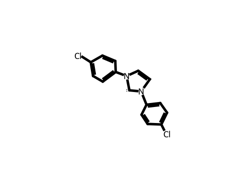 Clc1ccc(N2[C]N(c3ccc(Cl)cc3)C=C2)cc1